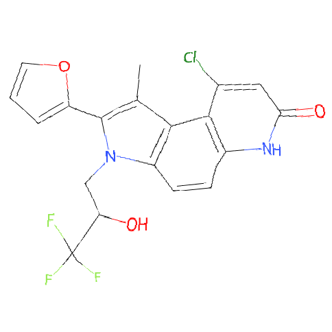 Cc1c(-c2ccco2)n(CC(O)C(F)(F)F)c2ccc3[nH]c(=O)cc(Cl)c3c12